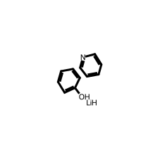 Oc1ccccc1.[LiH].c1ccncc1